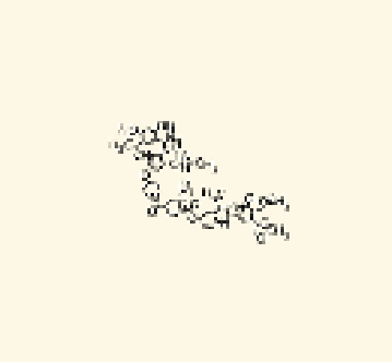 CCNC(=O)c1nnc(-c2cc(C(C)C)c(O)cc2O)n1-c1ccc(OC2CCN(C(=O)C3CCN(C(=O)Oc4ccc5nc6c(c(CC)c5c4)Cn4c-6cc(C(C=O)OC)c(COC)c4=O)C(C)C3)CC2)cc1